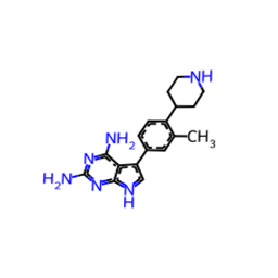 Cc1cc(-c2c[nH]c3nc(N)nc(N)c23)ccc1C1CCNCC1